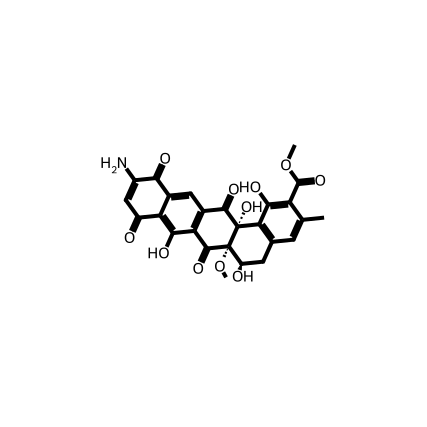 COC(=O)c1c(C)cc2c(c1O)[C@]1(O)C(=O)c3cc4c(c(O)c3C(=O)[C@]1(OC)[C@H](O)C2)C(=O)C=C(N)C4=O